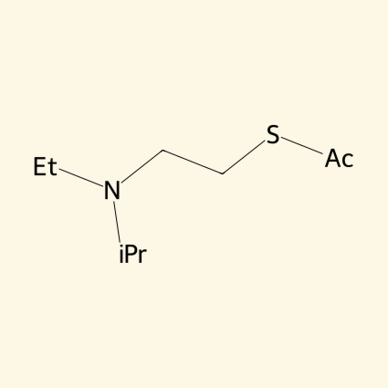 CCN(CCSC(C)=O)C(C)C